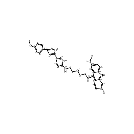 COc1ccc(-c2noc(-c3ccc(NCCOCCNc4c5ccc(Cl)cc5nc5ccc(OC)cc45)nn3)n2)cc1